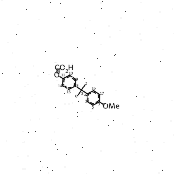 COc1ccc(C(C)(C)c2ccc(OC(=O)O)cc2)cc1